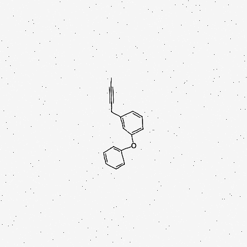 CC#CCc1cccc(Oc2ccccc2)c1